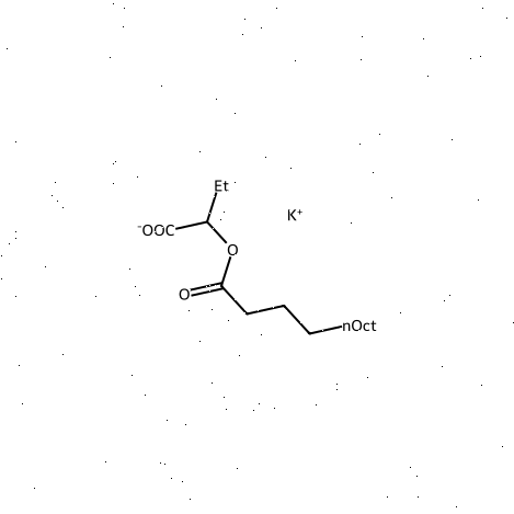 CCCCCCCCCCCC(=O)OC(CC)C(=O)[O-].[K+]